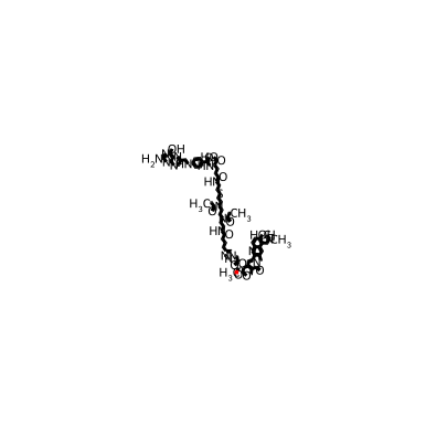 CCC(=O)N(CCNC(=O)CCCc1cn(CC(=O)O[C@]2(CC)C(=O)OCc3c2cc2n(c3=O)Cc3cc4c(CN(C)C)c(O)ccc4nc3-2)nn1)CCN(CCSCCNC(=O)CCC(NC(=O)c1ccc(NCc2cnc3nc(N)nc(O)c3n2)cc1)C(=O)O)C(=O)CC